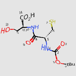 CC(C)(C)OC(=O)N[C@@H](CS)C(=O)N[C@@H](CO)C(=O)O